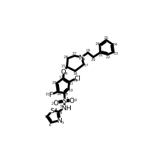 O=S(=O)(Nc1nccs1)c1cc(Cl)c(OC2CCN(CCc3ccccc3)CC2)cc1F